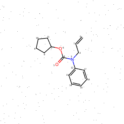 C=CCN(C(=O)OC1CCCC1)c1ccccc1